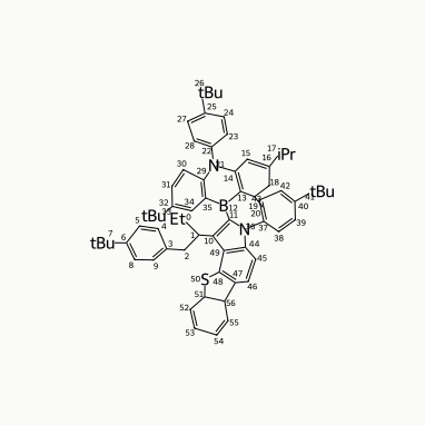 CCC(Cc1ccc(C(C)(C)C)cc1)c1c(B2C3=C(C=C(C(C)C)CC3C)N(c3ccc(C(C)(C)C)cc3)c3ccc(C(C)(C)C)cc32)n(-c2ccc(C(C)(C)C)cc2)c2ccc3c(c12)SC1C=CC=CC31